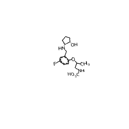 CC(CNC(=O)O)Oc1ccc(F)cc1CN[C@@H]1CCC[C@@H]1O